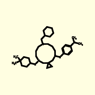 CN(C)c1ccc(SN2CCCN(CC3CCCCC3)CCCN(SN3CCC(C)(C)CC3)CC3(CC3)C2)cc1